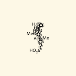 CNC(C(C)=O)(c1ccc(NC(=O)Nc2ccccc2C)c(OC)c1)C1CCN(CCCC(=O)O)CC1